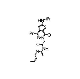 C=C(/N=C\C=C/C)NC(=O)Cn1nc(C(C)C)c2cc(NC(C)C)sc2c1=O